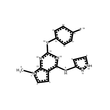 Cn1ccc2c(Nc3cc[nH]n3)nc(Sc3ccc(F)cc3)nc21